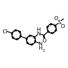 CS(=O)(=O)c1ccc(C(=O)Nc2cc(-c3ccc(Cl)cc3)ccc2N)cc1